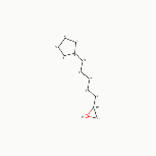 C(CCC1CCCC1)CCC1CO1